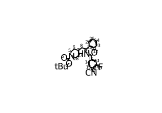 CC(C)(C)OC(=O)N1CCC(CC(NC(=O)c2ccc(C#N)c(F)c2)c2ccccc2)CC1